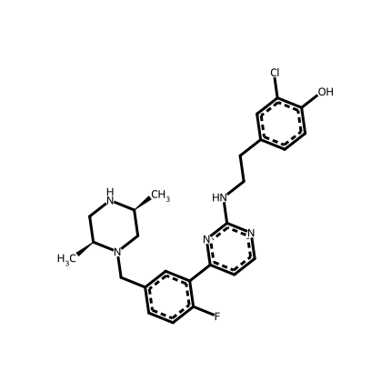 C[C@H]1CN(Cc2ccc(F)c(-c3ccnc(NCCc4ccc(O)c(Cl)c4)n3)c2)[C@@H](C)CN1